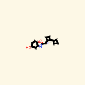 Oc1ccc2oc(/C=C3\CCC3=C3CCC3)nc2c1